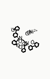 COc1ccccc1-c1cccc([C@H]2N=C(CC3=N[C@H](c4cccc(-c5ccccc5OC)c4)C(c4ccccc4OC)O3)OC2c2ccccc2OC)c1.[Cl-].[Cl-].[Ni+2]